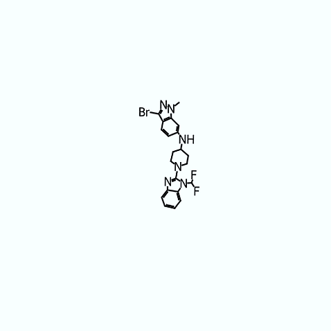 Cn1nc(Br)c2ccc(NC3CCN(c4nc5ccccc5n4C(F)F)CC3)cc21